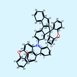 c1ccc(-c2ccccc2N(c2ccc3c(c2)C2(c4ccccc4Oc4ccccc42)c2ccc4ccccc4c2-3)c2ccc3oc4ccccc4c3c2)cc1